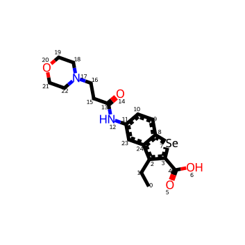 CCc1c(C(=O)O)[se]c2ccc(NC(=O)CCN3CCOCC3)cc12